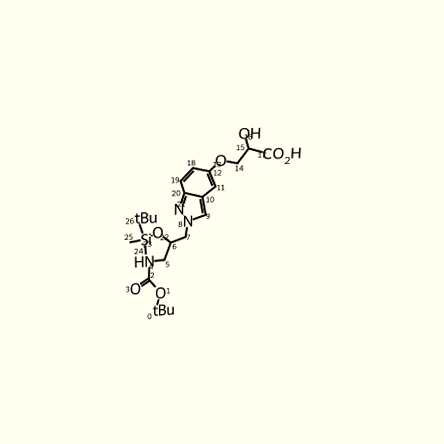 CC(C)(C)OC(=O)NCC(Cn1cc2cc(OCC(O)C(=O)O)ccc2n1)O[Si](C)(C)C(C)(C)C